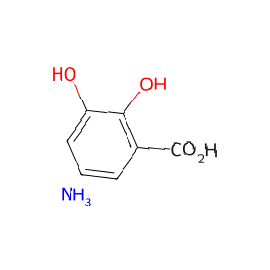 N.O=C(O)c1cccc(O)c1O